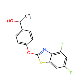 OC(c1ccc(Oc2nc3c(F)cc(F)cc3s2)cc1)C(F)(F)F